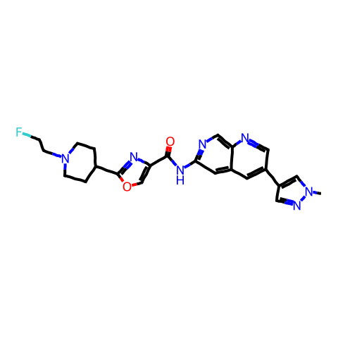 Cn1cc(-c2cnc3cnc(NC(=O)c4coc(C5CCN(CCF)CC5)n4)cc3c2)cn1